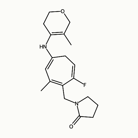 CC1=C(CN2CCCC2=O)C(F)=CCC(NC2=C(C)COCC2)=C1